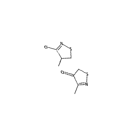 CC1=NSCC1=O.CC1CSN=C1Cl